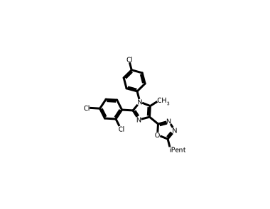 CCCC(C)c1nnc(-c2nc(-c3ccc(Cl)cc3Cl)n(-c3ccc(Cl)cc3)c2C)o1